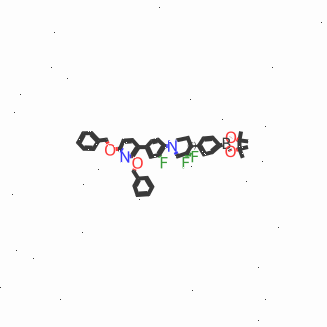 CC1(C)OB(c2ccc([C@@H]3CCN(c4ccc(-c5ccc(OCc6ccccc6)nc5OCc5ccccc5)cc4F)CC3(F)F)cc2)OC1(C)C